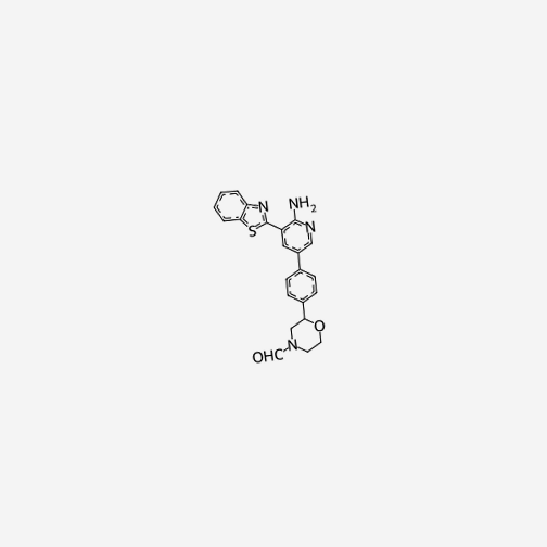 Nc1ncc(-c2ccc(C3CN(C=O)CCO3)cc2)cc1-c1nc2ccccc2s1